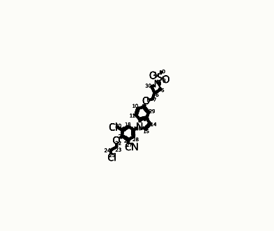 CS(=O)(=O)N1CC(COc2ccc3c(ccn3-c3cc(Cl)c(OCCCl)c(C#N)c3)c2)C1